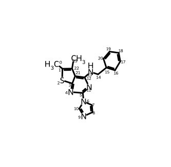 Cc1sc2nc(-n3ccnc3)nc(NCc3ccccc3)c2c1C